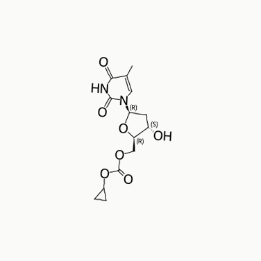 Cc1cn([C@H]2C[C@H](O)[C@@H](COC(=O)OC3CC3)O2)c(=O)[nH]c1=O